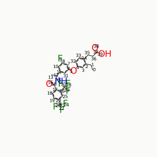 CCc1cc(Oc2cc(F)cc(C(C)NC(=O)c3ccc(C(F)(F)F)cc3C(F)(F)F)c2)ccc1CCC(=O)O